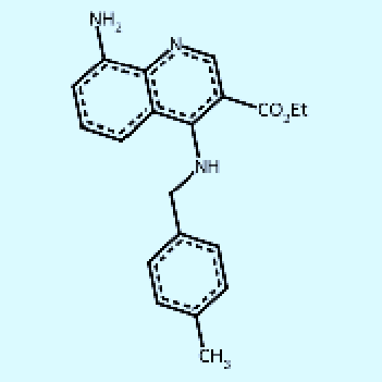 CCOC(=O)c1cnc2c(N)cccc2c1NCc1ccc(C)cc1